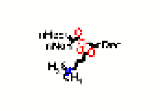 CCCCCCCCCCC(COC(=O)C(CCCCCCC)CCCCCCCCC)OC(=O)CCCN(C)C